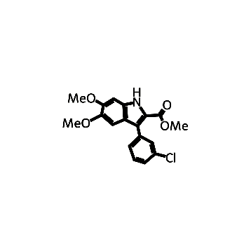 COC(=O)c1[nH]c2cc(OC)c(OC)cc2c1-c1cccc(Cl)c1